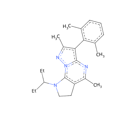 CCC(CC)N1CCc2c(C)nc3c(-c4c(C)cccc4C)c(C)nn3c21